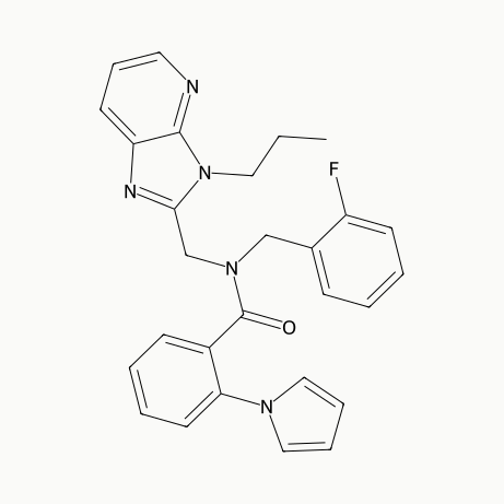 CCCn1c(CN(Cc2ccccc2F)C(=O)c2ccccc2-n2cccc2)nc2cccnc21